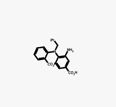 CC(C)CN(c1ccc(C(=O)O)cc1N)c1ccccc1C(=O)O